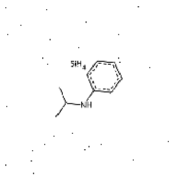 CC(C)Nc1ccccc1.[SiH4]